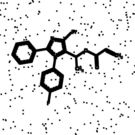 C=CC(=O)OC(C)c1c(C(C)C)nc(-c2ccccc2)n1-c1ccc(F)cc1